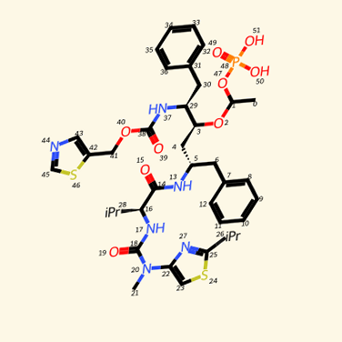 CC(O[C@@H](C[C@H](Cc1ccccc1)NC(=O)[C@@H](NC(=O)N(C)c1csc(C(C)C)n1)C(C)C)[C@H](Cc1ccccc1)NC(=O)OCc1cncs1)OP(=O)(O)O